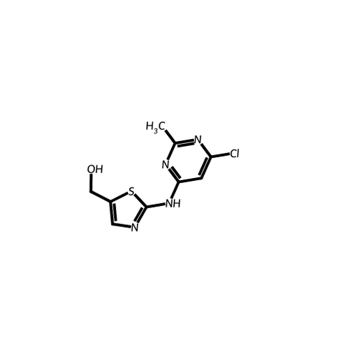 Cc1nc(Cl)cc(Nc2ncc(CO)s2)n1